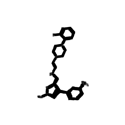 Cc1cccc(-c2cn(C(C)(C)C)nc2CNCCN2CCN(c3ccccc3F)CC2)c1